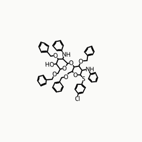 OC1C(COCc2ccccc2)OC(OC2C(COCc3ccccc3)OC(Sc3ccc(Cl)cc3)C(Nc3ccccc3)C2OCc2ccccc2)C(Nc2ccccc2)C1OCc1ccccc1